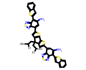 CCCCC(CC)CC1(CC(CC)CCCC)c2cc(-c3cc(N)c(-c4cc5ccccc5s4)c4nsnc34)sc2-c2sc(-c3cc(N)c(-c4cc5ccccc5s4)c4nsnc34)cc21